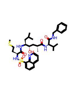 CSCC[C@H](NS(=O)(=O)c1cccc2cccnc12)C(=O)N[C@@H](CC(C)C)[C@@H](O)C[C@@H](C)C(=O)N[C@H](C(=O)NCc1ccccc1)C(C)C